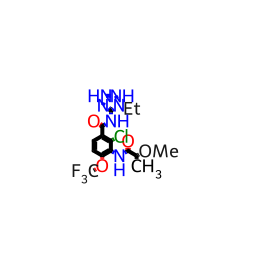 CCN1NNN=C1NC(=O)c1ccc(OC(F)(F)F)c(NC(=O)C(C)OC)c1Cl